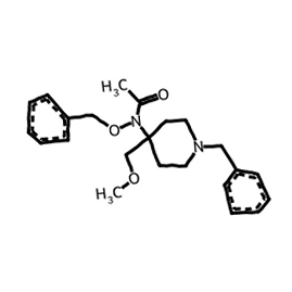 COCC1(N(OCc2ccccc2)C(C)=O)CCN(Cc2ccccc2)CC1